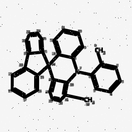 Cc1ccccc1N1c2ccccc2C2(c3ccccc3-c3ccccc32)c2cccc(C)c21